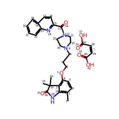 Cc1ccc(OCCCN2CCN(C(=O)c3ccc4ccccc4n3)CC2)c2c1NC(=O)C2(C)C.O=C(O)/C=C\C(=O)O